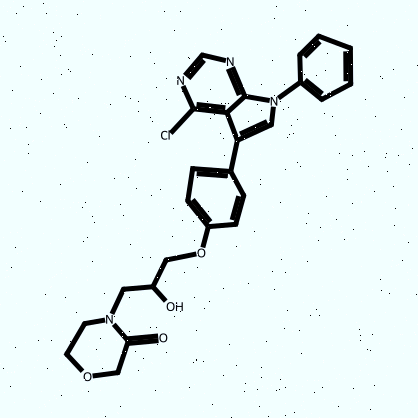 O=C1COCCN1CC(O)COc1ccc(-c2cn(-c3ccccc3)c3ncnc(Cl)c23)cc1